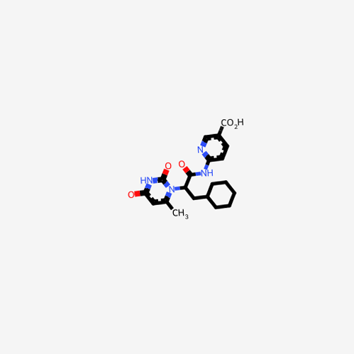 Cc1cc(=O)[nH]c(=O)n1C(CC1CCCCC1)C(=O)Nc1ccc(C(=O)O)cn1